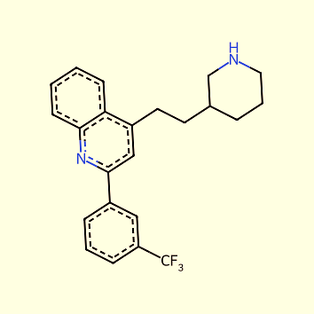 FC(F)(F)c1cccc(-c2cc(CCC3CCCNC3)c3ccccc3n2)c1